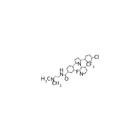 CN(C)CCNC(=O)c1ccc(-c2ccc(-c3ccc(Cl)cc3)n2-c2cnccc2C(F)(F)F)c(F)c1